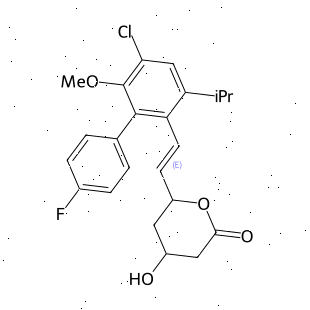 COc1c(Cl)cc(C(C)C)c(/C=C/C2CC(O)CC(=O)O2)c1-c1ccc(F)cc1